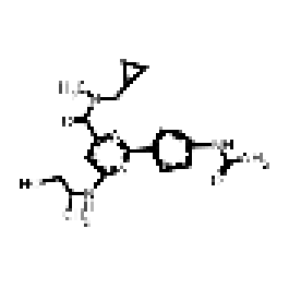 C[C@@H](CO)Nc1cc(C(=O)N(C)CC2CC2)nc(-c2ccc(NC(N)=O)cc2)n1